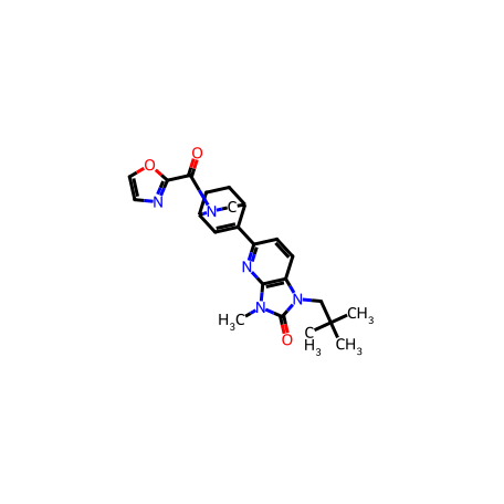 Cn1c(=O)n(CC(C)(C)C)c2ccc(C3=CC4CCC3CN4C(=O)c3ncco3)nc21